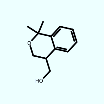 CC1(C)OCC(CO)c2ccccc21